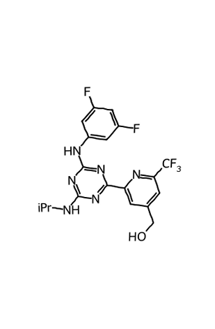 CC(C)Nc1nc(Nc2cc(F)cc(F)c2)nc(-c2cc(CO)cc(C(F)(F)F)n2)n1